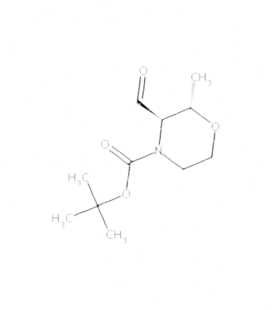 C[C@@H]1OCCN(C(=O)OC(C)(C)C)[C@H]1C=O